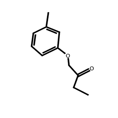 CCC(=O)COc1cccc(C)c1